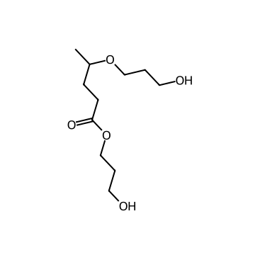 CC(CCC(=O)OCCCO)OCCCO